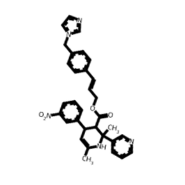 CC1=CC(c2cccc([N+](=O)[O-])c2)C(C(=O)OCC=Cc2ccc(Cn3ccnc3)cc2)C(C)(c2cccnc2)N1